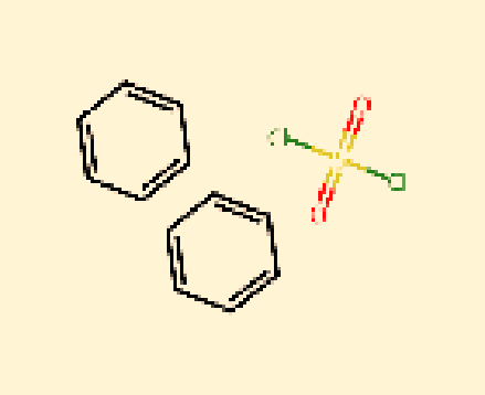 O=S(=O)(Cl)Cl.c1ccccc1.c1ccccc1